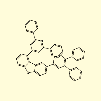 c1ccc(-c2cc(-c3cccc4oc5ccc(-c6ccc(-c7ccccc7)c(-c7ccccc7)c6)cc5c34)cc(-c3ccccc3)n2)cc1